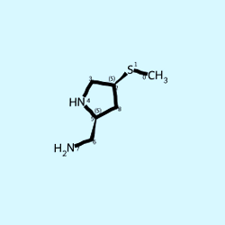 CS[C@@H]1CN[C@H](CN)C1